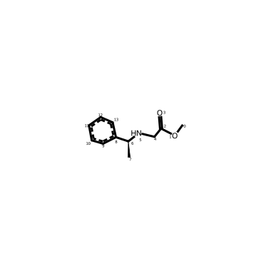 COC(=O)CN[C@@H](C)c1ccccc1